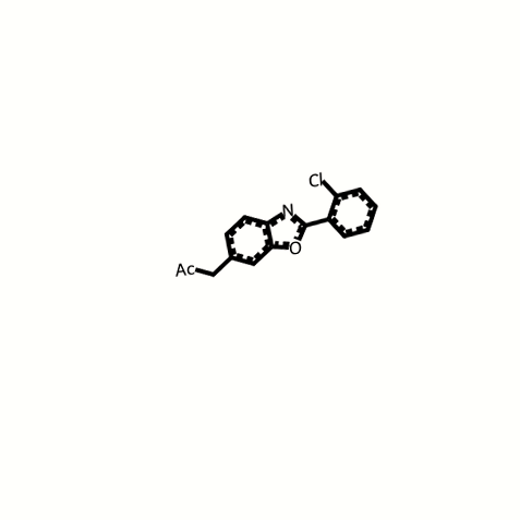 CC(=O)Cc1ccc2nc(-c3ccccc3Cl)oc2c1